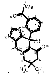 CCC1(c2cccc(C(=O)OC)c2)C2=C(CC(C)(C)CC2=O)Nc2ncsc21